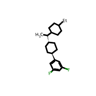 CCC1CCC(C(C)[C@H]2CC[C@H](c3cc(F)cc(F)c3)CC2)CC1